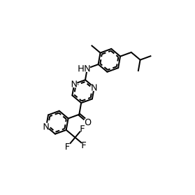 Cc1cc(CC(C)C)ccc1Nc1ncc(C(=O)c2ccncc2C(F)(F)F)cn1